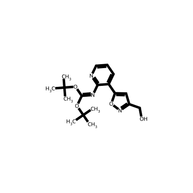 CC(C)(C)OC(=Nc1ncccc1-c1cc(CO)no1)OC(C)(C)C